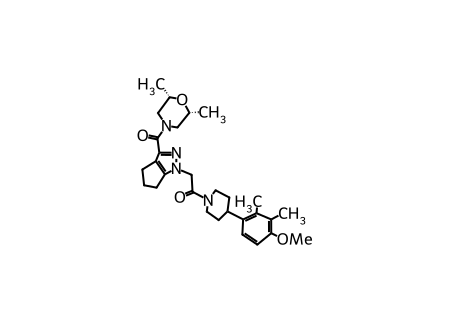 COc1ccc(C2CCN(C(=O)Cn3nc(C(=O)N4C[C@@H](C)O[C@@H](C)C4)c4c3CCC4)CC2)c(C)c1C